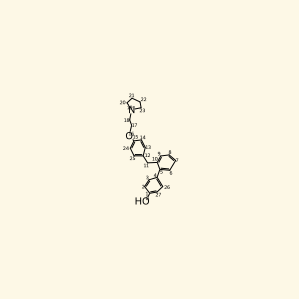 Oc1ccc(-c2ccccc2Cc2ccc(OCCN3CCCC3)cc2)cc1